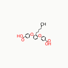 C#CCCCCc1c(Oc2ccc(C(=O)O)cc2)cccc1Oc1ccc(C(=O)O)cc1